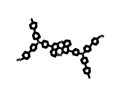 CCCCCCCCc1cc(-c2ccc(N(c3ccc(-c4ccc(C)cc4)cc3)c3ccc(-c4ccc(CCC)cc4)cc3)cc2)c2ccccc2c1-c1c(CCCCCCCC)cc(-c2ccc(N(c3ccc(-c4ccc(C)cc4)cc3)c3ccc(-c4ccc(CCC)cc4)cc3)cc2)c2ccccc12